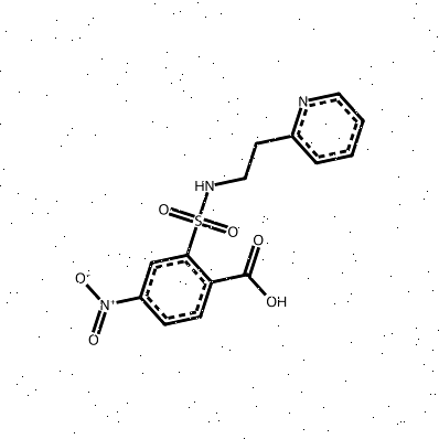 O=C(O)c1ccc([N+](=O)[O-])cc1S(=O)(=O)NCCc1ccccn1